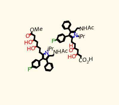 CC(=O)NCc1c(-c2ccccc2)c(-c2ccc(F)cc2)c(CCC(O)CC(O)CC(=O)O)n1C(C)C.COC(=O)CC(O)CC(O)CCc1c(-c2ccc(F)cc2)c(-c2ccccc2)c(CNC(C)=O)n1C(C)C